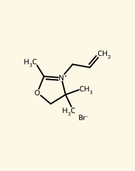 C=CC[N+]1=C(C)OCC1(C)C.[Br-]